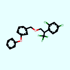 FC(F)(F)C(COCc1cccc(Oc2ccccc2)c1)c1ccc(Cl)cc1Cl